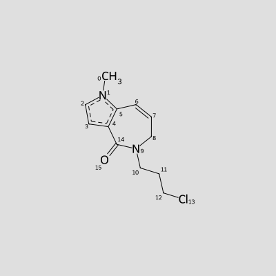 Cn1ccc2c1C=CCN(CCCCl)C2=O